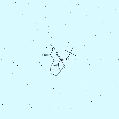 COC(=O)C1NCC2CCC1N2C(=O)OC(C)(C)C